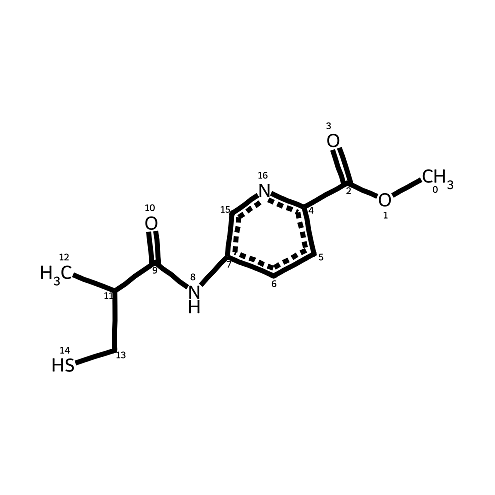 COC(=O)c1ccc(NC(=O)C(C)CS)cn1